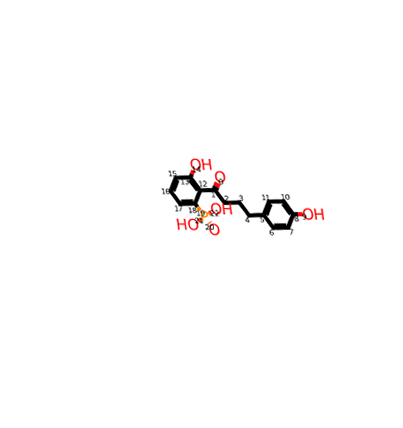 O=C(CCCc1ccc(O)cc1)c1c(O)cccc1P(=O)(O)O